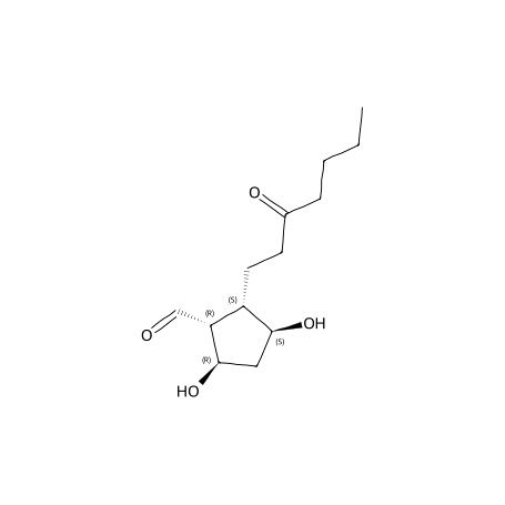 CCCCC(=O)CC[C@H]1[C@@H](C=O)[C@H](O)C[C@@H]1O